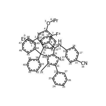 CCOc1cc(OC(C)C)c(F)c(C(Nc2ccc(C#N)cc2)c2nc(-c3ccccc3)c(C)n2C(c2ccccc2)(c2ccccc2)c2ccccc2)c1